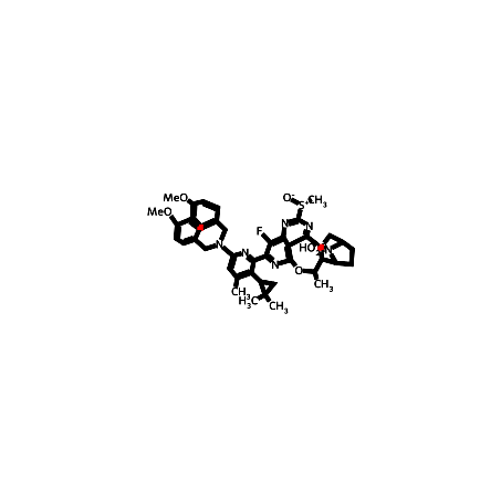 COc1ccc(CN(Cc2ccc(OC)cc2)c2cc(C)c(C3CC3(C)C)c(-c3nc4c5c(nc([S+](C)[O-])nc5c3F)N3CC5CCC(C3C(C)O4)N5C(=O)O)n2)cc1